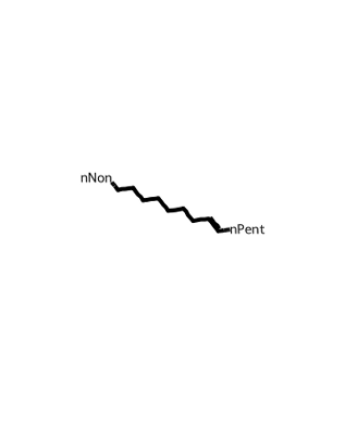 [CH2]CCCCC=CCCCCCCCCCCCCCCCC